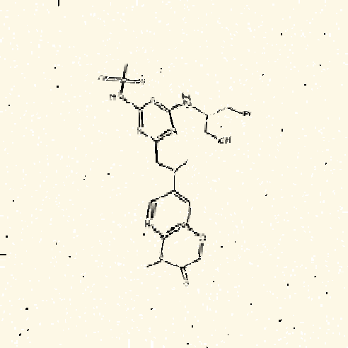 CC(C)C[C@H](CO)Nc1nc(CC(C)c2cnc3c(c2)OCC(=O)N3C)nc(NS(C)(=O)=O)n1